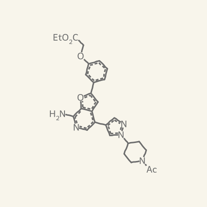 CCOC(=O)COc1cccc(-c2cc3c(-c4cnn(C5CCN(C(C)=O)CC5)c4)cnc(N)c3o2)c1